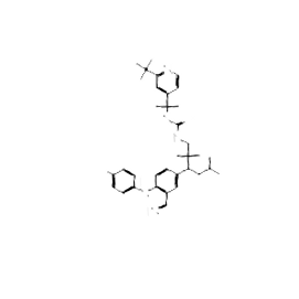 CC(C)CC(c1ccc(Nc2ccc(F)cc2)c(C=N)c1)C(C)(C)CNC(=O)NC(C)(C)c1ccnc(C(C)(C)C)c1